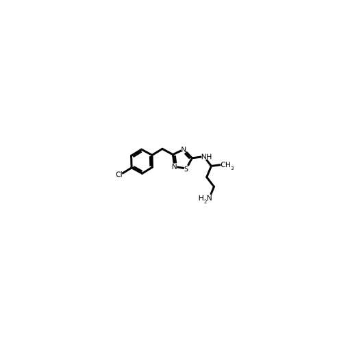 CC(CCN)Nc1nc(Cc2ccc(Cl)cc2)ns1